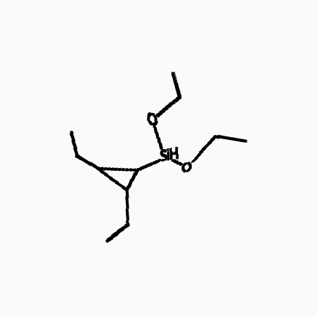 CCO[SiH](OCC)C1C(CC)C1CC